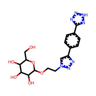 OCC1OC(OCCn2cc(-c3ccc(-c4nn[nH]n4)cc3)nn2)C(O)C(O)C1O